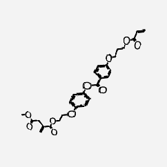 C=CC(=O)OCCCOc1ccc(C(=O)Oc2ccc(OCCOC(=O)C(=C)CC(=O)OC)cc2)cc1